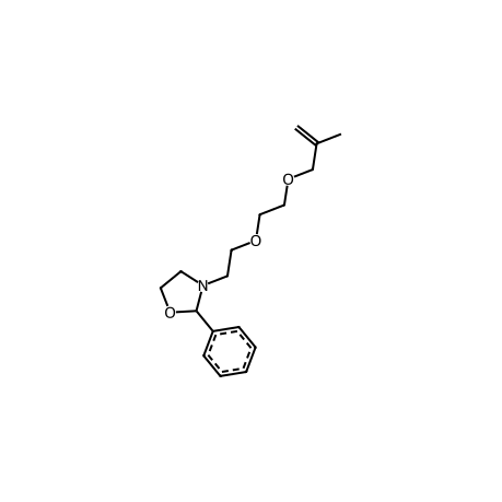 C=C(C)COCCOCCN1CCOC1c1ccccc1